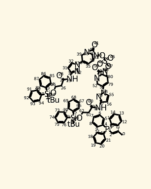 C/C=C/[P+](c1ccccc1)(c1ccccc1)c1ccccc1.CC(C)(C)[Si](OCCC(=O)Nc1ccn(C2=CC3CN(C2)C(=O)N3OS(=O)(=O)ON2C(=O)N3CC(n4ccc(NC(=O)CCO[Si](c5ccccc5)(c5ccccc5)C(C)(C)C)n4)=CC2C3)n1)(c1ccccc1)c1ccccc1